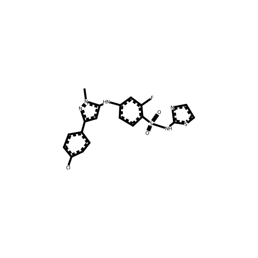 Cn1nc(-c2ccc(Cl)cc2)cc1Nc1ccc(S(=O)(=O)Nc2nccs2)c(F)c1